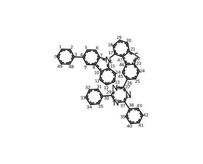 c1ccc(-c2ccc3c(c2)c2ccccc2n3-c2cccc3sc4ccc(-c5nc(-c6ccccc6)nc(-c6ccccc6)n5)cc4c23)cc1